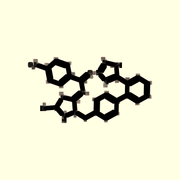 CCC1NN(Cc2ccc(-c3ccccc3-c3nnn[nH]3)cc2)C(=NC(=O)c2ccc([N+](=O)[O-])cc2)S1